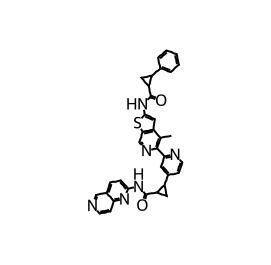 Cc1c(-c2cc(C3CC3C(=O)Nc3ccc4cnccc4n3)ccn2)ncc2sc(NC(=O)C3CC3c3ccccc3)cc12